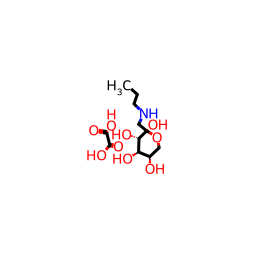 CCCNC[C@@]1(O)OC[C@@H](O)[C@@H](O)[C@@H]1O.O=C(O)C(=O)O